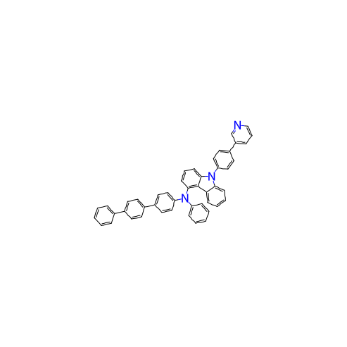 c1ccc(-c2ccc(-c3ccc(N(c4ccccc4)c4cccc5c4c4ccccc4n5-c4ccc(-c5cccnc5)cc4)cc3)cc2)cc1